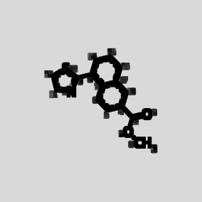 COC(=O)c1ccc2c(-c3nccs3)cccc2c1